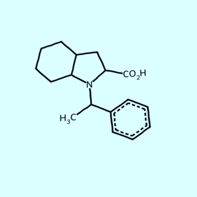 CC(c1ccccc1)N1C(C(=O)O)CC2CCCCC21